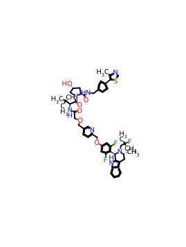 Cc1ncsc1-c1ccc(CNC(=O)[C@@H]2C[C@@H](O)CN2C(=O)[C@@H](NC(=O)COCc2ccc(COc3cc(F)c([C@@H]4c5[nH]c6ccccc6c5C[C@@H](C)N4CC(C)(C)F)c(F)c3)nc2)C(C)(C)C)cc1